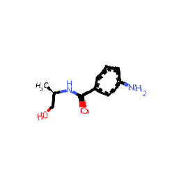 C[C@H](CO)NC(=O)c1cccc(N)c1